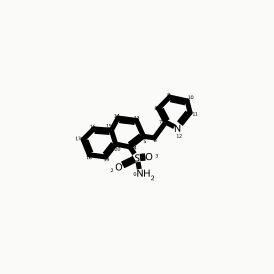 NS(=O)(=O)c1c(Cc2ccccn2)ccc2ccccc12